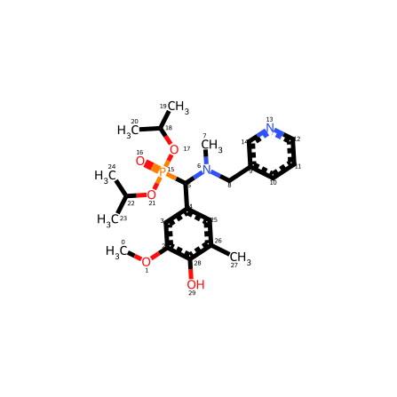 COc1cc(C(N(C)Cc2cccnc2)P(=O)(OC(C)C)OC(C)C)cc(C)c1O